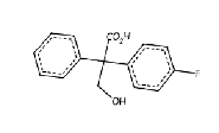 O=C(O)C(CO)(c1ccccc1)c1ccc(F)cc1